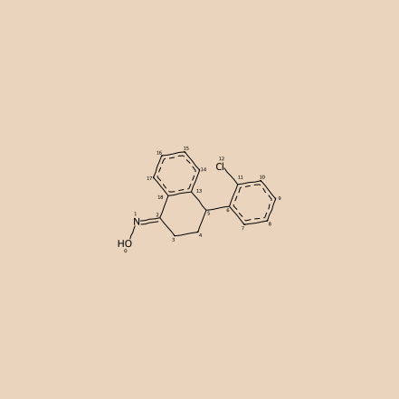 ON=C1CCC(c2ccccc2Cl)c2ccccc21